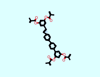 C=C(C)C(=O)Oc1cc(/C=C/c2ccc(-c3ccc(-c4cc(OC(=O)C(=C)C)cc(OC(=O)C(=C)C)c4)cc3)cc2)cc(OC(=O)C(=C)C)c1